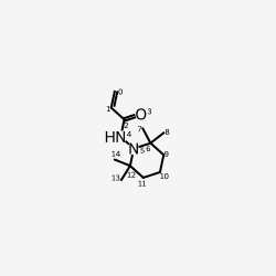 C=CC(=O)NN1C(C)(C)CCCC1(C)C